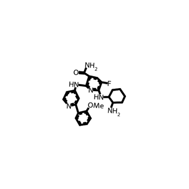 COc1ccccc1-c1cc(Nc2nc(NC3CCCCC3N)c(F)cc2C(N)=O)ccn1